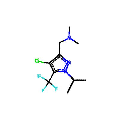 CC(C)n1nc(CN(C)C)c(Cl)c1C(F)(F)F